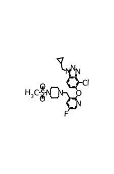 CS(=O)(=O)N1CCN(Cc2cc(F)cnc2Oc2ccc3c(nnn3CC3CC3)c2Cl)CC1